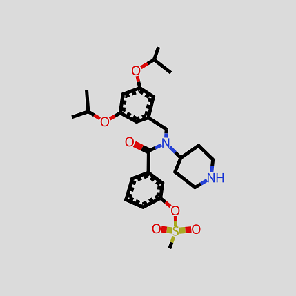 CC(C)Oc1cc(CN(C(=O)c2cccc(OS(C)(=O)=O)c2)C2CCNCC2)cc(OC(C)C)c1